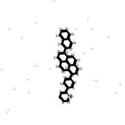 c1ccc(-c2ccc(-c3ccc4ccc5c(-c6ccc7ccccc7c6)ccc6ccc3c4c65)cc2)nc1